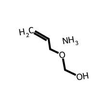 C=CCOCO.N